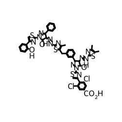 Cc1nc(N/N=C2\C(=O)N(c3nc(-c4c(Cl)cc(C(=O)O)cc4Cl)cs3)N=C2c2cccc(Cc3sc(N/N=C4\C(=O)N(c5nc(-c6ccccc6O)cs5)N=C4c4ccccc4)nc3C)c2)sc1C